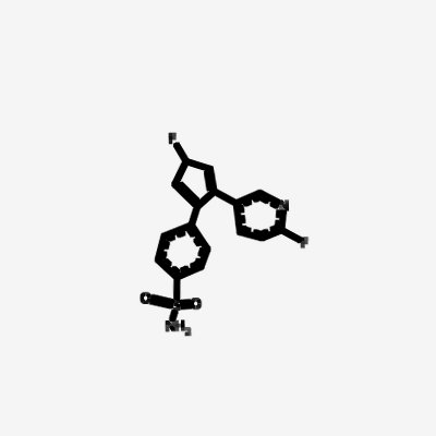 NS(=O)(=O)c1ccc(C2=CC(F)C=C2c2ccc(F)nc2)cc1